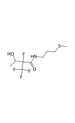 CSCCCNC(=O)C(F)(C(C)O)C(F)(F)F